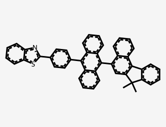 CC1(C)c2ccccc2-c2c1cc(-c1c3ccccc3c(-c3ccc(-c4nc5ccccc5s4)cc3)c3ccccc13)c1ccccc21